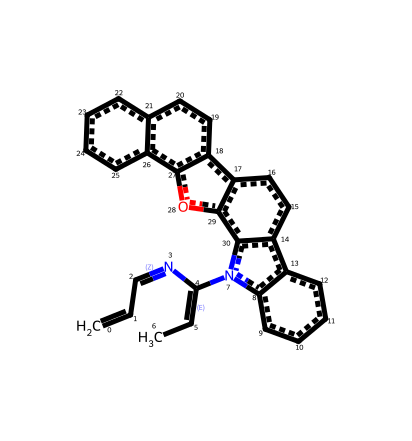 C=C/C=N\C(=C/C)n1c2ccccc2c2ccc3c4ccc5ccccc5c4oc3c21